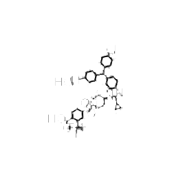 Cl.O=C(O)c1ccc(S(=O)(=O)N2CCC(n3c(C4CC4)nc4ccc(C(c5ccc(Cl)cc5)c5ccc(Cl)cc5)cc43)CC2)cc1C(F)(F)F